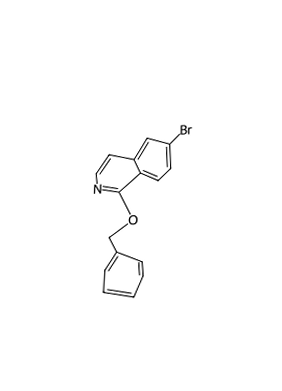 Brc1ccc2c(OCc3ccccc3)nccc2c1